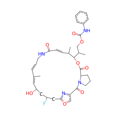 CC1=C\C(O)CC(F)Cc2nc(co2)C(=O)N2CCCC2C(=O)OC(C(C)COC(=O)Nc2ccccc2)C(C)/C=C/C(=O)NC\C=C\1